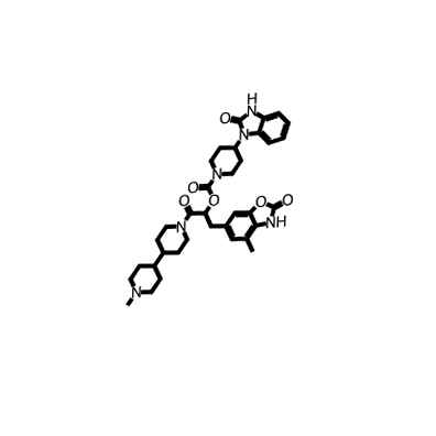 Cc1cc(CC(OC(=O)N2CCC(n3c(=O)[nH]c4ccccc43)CC2)C(=O)N2CCC(C3CCN(C)CC3)CC2)cc2oc(=O)[nH]c12